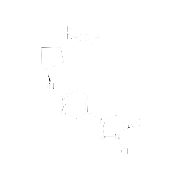 CN1C(=O)CN(c2ccc(N[C@H]3CC[C@H](NC(=O)O)C3)nc2)C1=O